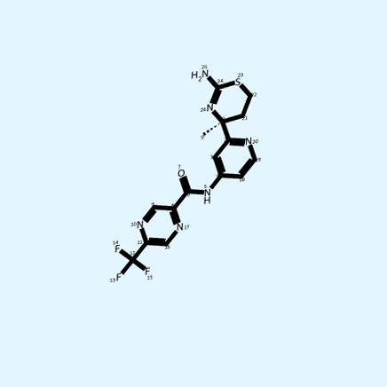 C[C@@]1(c2cc(NC(=O)c3cnc(C(F)(F)F)cn3)ccn2)CCSC(N)=N1